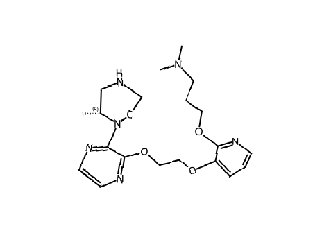 C[C@@H]1CNCCN1c1nccnc1OCCOc1cccnc1OCCCN(C)C